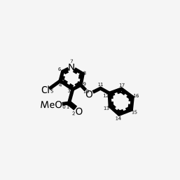 COC(=O)c1c(Cl)cncc1OCc1ccccc1